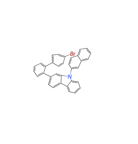 Brc1ccc(-c2ccccc2-c2ccc3c4ccccc4n(-c4ccc5ccccc5c4)c3c2)cc1